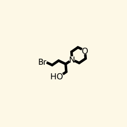 OCC(CCBr)N1CCOCC1